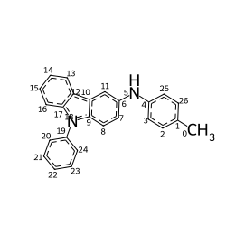 Cc1ccc(Nc2ccc3c(c2)c2ccccc2n3-c2ccccc2)cc1